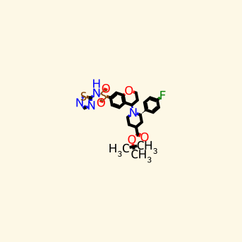 CC(C)(C)OC(=O)C1CCN([C@@H]2CCOc3cc(S(=O)(=O)Nc4ncns4)ccc32)[C@H](c2ccc(F)cc2)C1